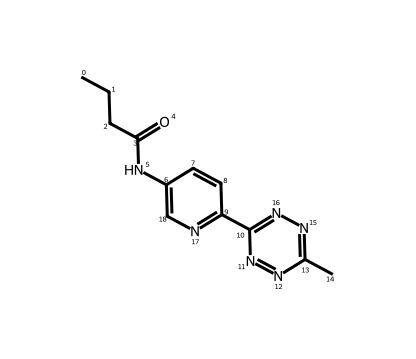 CCCC(=O)Nc1ccc(-c2nnc(C)nn2)nc1